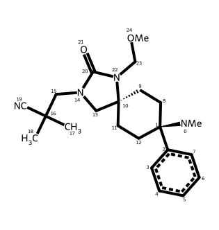 CN[C@]1(c2ccccc2)CC[C@]2(CC1)CN(CC(C)(C)C#N)C(=O)N2COC